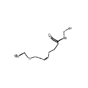 CC(C)(C)CNC(=O)CC/C=C\COCC(C)(C)C